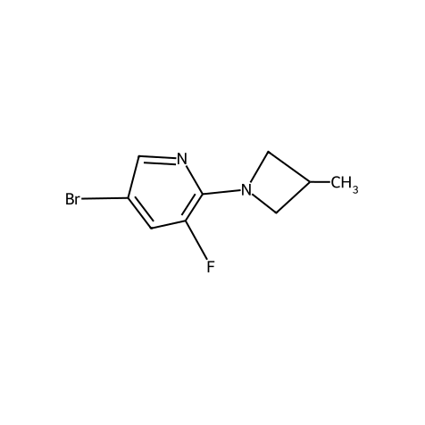 CC1CN(c2ncc(Br)cc2F)C1